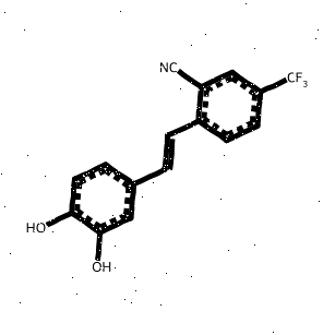 N#Cc1cc(C(F)(F)F)ccc1C=Cc1ccc(O)c(O)c1